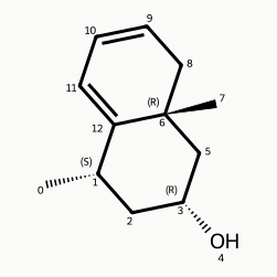 C[C@H]1C[C@@H](O)C[C@@]2(C)CC=CC=C12